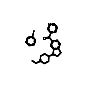 CCN1CCC(N2CCc3ccc(C(=O)c4cccnc4)cc32)CC1.Fc1ccccc1